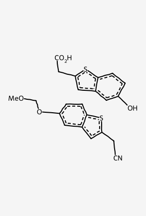 COCOc1ccc2sc(CC#N)cc2c1.O=C(O)Cc1cc2cc(O)ccc2s1